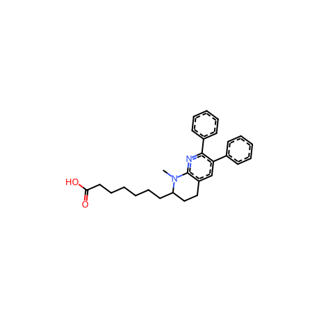 CN1c2nc(-c3ccccc3)c(-c3ccccc3)cc2CCC1CCCCCCC(=O)O